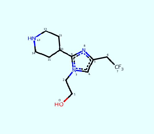 OCCn1cc(CC(F)(F)F)nc1C1CCNCC1